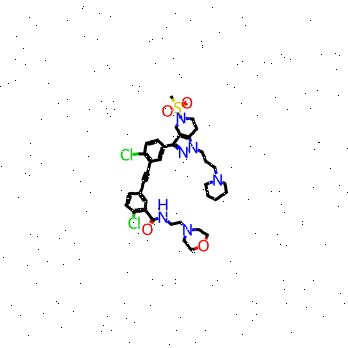 CS(=O)(=O)N1CCc2c(c(-c3ccc(Cl)c(C#Cc4ccc(Cl)c(C(=O)NCCN5CCOCC5)c4)c3)nn2CCCN2CCCCC2)C1